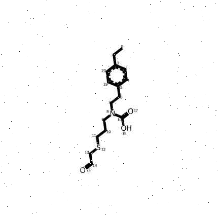 CCc1ccc(CCN(CCCSCC=O)C(=O)O)cc1